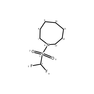 O=S(=O)(C(F)F)N1CCCCCCC1